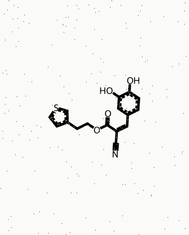 N#CC(=Cc1ccc(O)c(O)c1)C(=O)OCCc1ccsc1